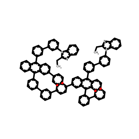 CCc1nc2ccccc2n1-c1cccc(-c2cccc(-c3c4ccccc4c(-c4cccc(-c5cccc(-c6ccc(-c7ccc8c(-c9cccc(-c%10cccc(-n%11c(CC)nc%12ccccc%12%11)c%10)c9)c9ccccc9c(-c9ccccc9-c9ccccc9)c8c7)cc6)c5)c4)c4cc(-c5ccccc5)ccc34)c2)c1